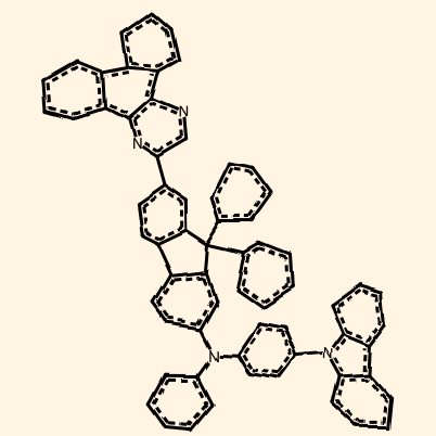 c1ccc(N(c2ccc(-n3c4ccccc4c4ccccc43)cc2)c2ccc3c(c2)C(c2ccccc2)(c2ccccc2)c2cc(-c4cnc5c6ccccc6c6ccccc6c5n4)ccc2-3)cc1